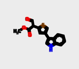 COC(=O)C(C=O)c1cc(-c2c[nH]c3ccccc23)cs1